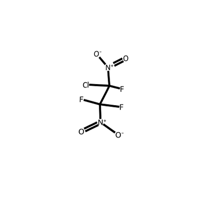 O=[N+]([O-])C(F)(F)C(F)(Cl)[N+](=O)[O-]